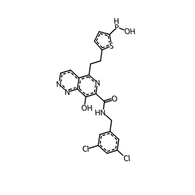 O=C(NCc1cc(Cl)cc(Cl)c1)c1nc(CCc2ccc(PO)s2)c2ccnnc2c1O